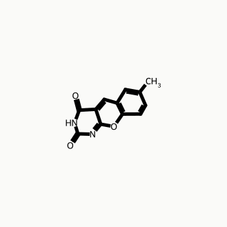 Cc1ccc2oc3nc(=O)[nH]c(=O)c-3cc2c1